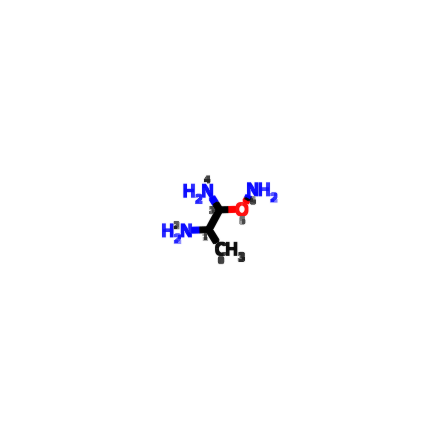 CC(N)C(N)ON